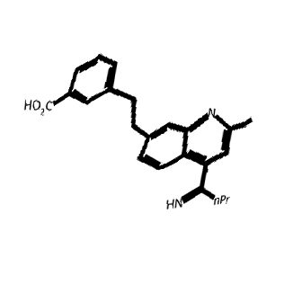 CCCC(=N)c1cc(C)nc2cc(CCc3cccc(C(=O)O)c3)ccc12